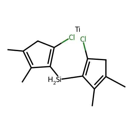 CC1=C(C)C([SiH2]C2=C(Cl)CC(C)=C2C)=C(Cl)C1.[Ti]